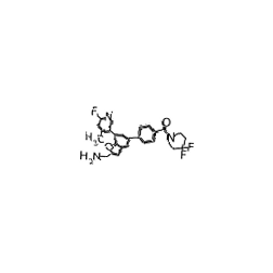 Cc1cc(F)ncc1-c1cc(-c2ccc(C(=O)N3CCC(F)(F)CC3)cc2)cc2cc(CN)oc12